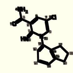 N=c1c(C(N)=O)cc(Cl)cn1-c1cccc2c1CCC2